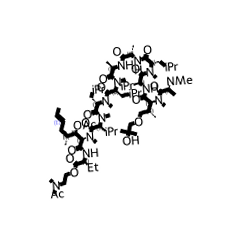 C/C=C/C[C@@H](C)[C@@H](OC(C)=O)[C@@H](C(=O)N[C@@H](CC)C(=O)OCCN(C)C(C)=O)N(C)C(=O)[C@H](C(C)C)N(C)C(=O)[C@H](CC(C)C)N(C)C(=O)[C@H](CC(C)C)N(C)C(=O)[C@@H](C)NC(=O)[C@H](C)NC(=O)[C@H](CC(C)C)N(C)C(=O)[C@@H](NC(=O)[C@H]([C@H](C)COCC(C)(C)O)N(C)C(=O)[C@@H](C)NC)C(C)C